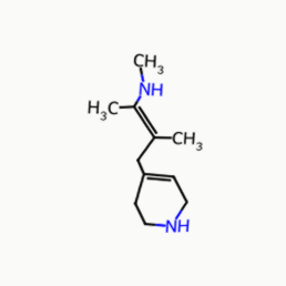 CN/C(C)=C(\C)CC1=CCNCC1